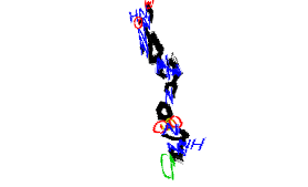 C[C@@H]1CN(CC2CCN(c3cccc(S(=O)(=O)N4CCC(Nc5ncc(Cl)cn5)CC4)c3)CC2)CCN1c1ccc2c(N3CCC(=O)NC3=O)nn(C)c2c1